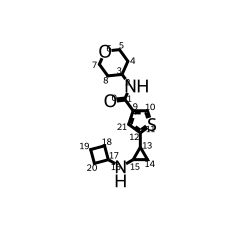 O=C(NC1CCOCC1)c1csc(C2CC2NC2CCC2)c1